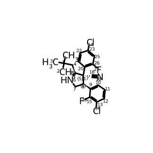 CC(C)(C)C[C@@H]1NC[C@H](c2cccc(Cl)c2F)[C@]1(C#N)c1ccc(Cl)cc1F